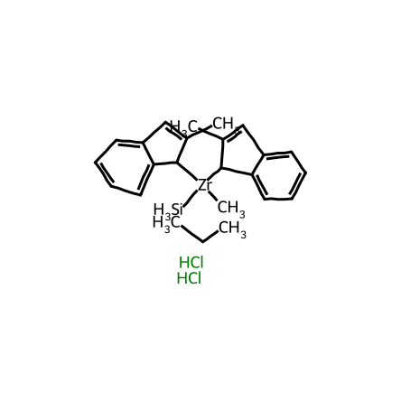 CC1=Cc2ccccc2[CH]1[Zr]([CH3])([SiH3])[CH]1C(C)=Cc2ccccc21.CCC.Cl.Cl